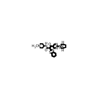 CN1CCC(NC(=O)c2c(=O)c3cnc(N4C[C@H]5CC[C@@H](C4)N5C)nc3n3c2sc2ccccc23)CC1